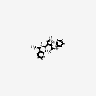 C=C(NCc1c[nH]nc1C(=C)Nc1cccnc1)c1cccnc1